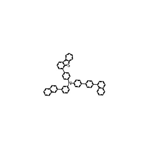 c1cc(-c2ccc3ccccc3c2)cc(N(c2ccc(-c3ccc(-c4cccc5ccccc45)cc3)cc2)c2ccc(-c3cccc4c3sc3ccccc34)cc2)c1